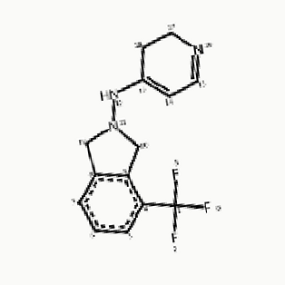 FC(F)(F)c1cccc2c1CN(NC1=CC=NCC1)C2